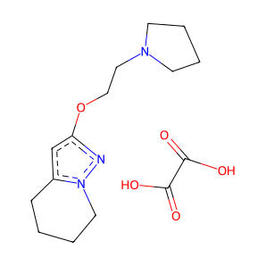 O=C(O)C(=O)O.c1c(OCCN2CCCC2)nn2c1CCCC2